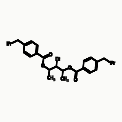 CCC(C(C)OC(=O)c1ccc(CC(C)C)cc1)C(C)OC(=O)c1ccc(CC(C)C)cc1